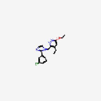 CCOc1cc(CC)c(Cn2ccnc2-c2cccc(F)c2)nn1